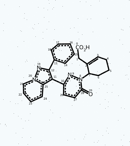 O=C(O)CC1=CCCCC1n1nc(-c2c(-c3ccccc3)nn3ccccc23)ccc1=O